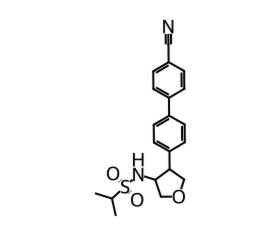 CC(C)S(=O)(=O)NC1COCC1c1ccc(-c2ccc(C#N)cc2)cc1